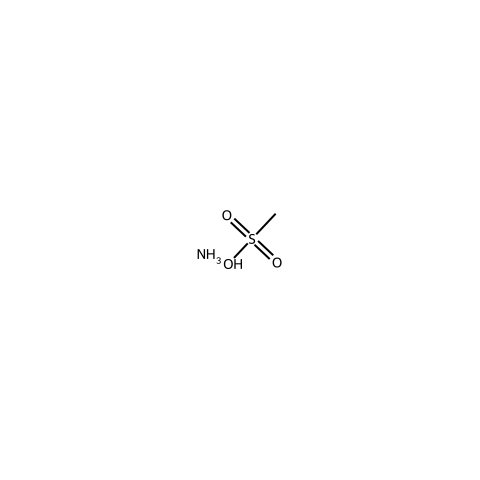 CS(=O)(=O)O.N